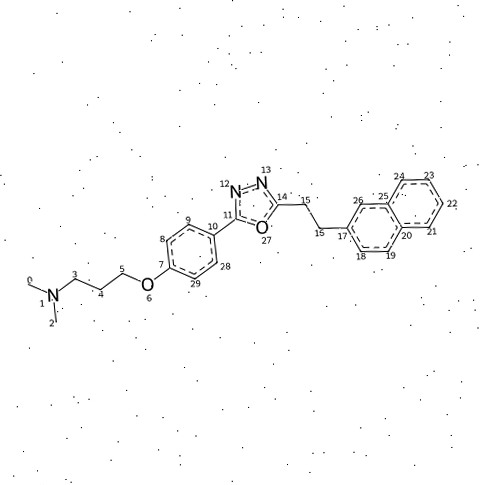 CN(C)CCCOc1ccc(-c2nnc(CCc3ccc4ccccc4c3)o2)cc1